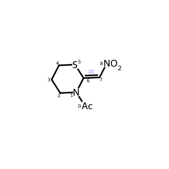 CC(=O)N1CCCS/C1=C\[N+](=O)[O-]